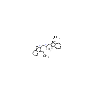 CCN1/C(=C\C(C)=C\c2oc3ccccc3[n+]2CC)Oc2ccccc21